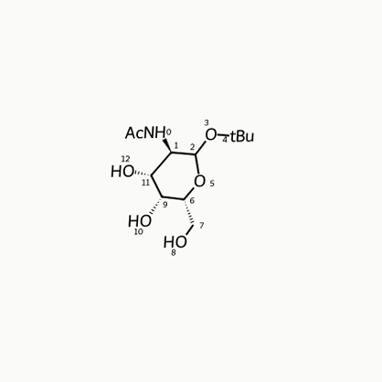 CC(=O)N[C@H]1C(OC(C)(C)C)O[C@H](CO)[C@H](O)[C@@H]1O